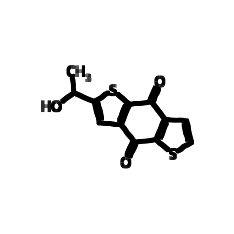 CC(O)c1cc2c(s1)C(=O)c1ccsc1C2=O